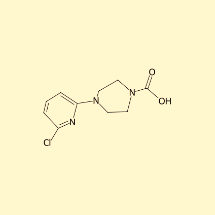 O=C(O)N1CCN(c2cccc(Cl)n2)CC1